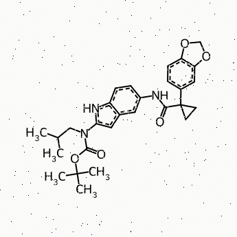 CC(C)CN(C(=O)OC(C)(C)C)c1cc2cc(NC(=O)C3(c4ccc5c(c4)OCO5)CC3)ccc2[nH]1